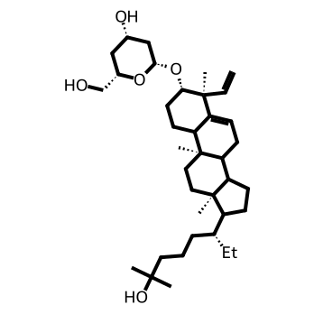 C=C[C@@]1(C)C2=CCC3C4CCC([C@H](CC)CCCC(C)(C)O)[C@@]4(C)CC[C@@]3(C)C2CC[C@@H]1O[C@H]1C[C@@H](O)C[C@@H](CO)O1